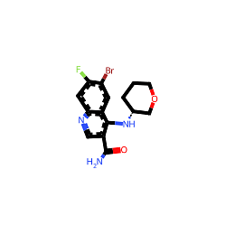 NC(=O)c1cnc2cc(F)c(Br)cc2c1N[C@@H]1CCCOC1